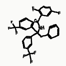 O=C(NC(Cc1ccccc1)(c1cccc(C(F)(F)F)c1)c1cccc(C(F)(F)F)c1)c1cc(F)ccc1F